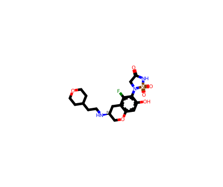 O=C1CN(c2c(O)cc3c(c2F)C[C@H](NCCC2CCOCC2)CO3)S(=O)(=O)N1